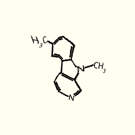 Cc1ccc2c(c1)c1ccncc1n2C